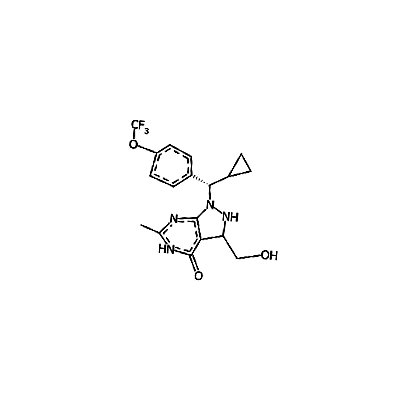 Cc1nc2c(c(=O)[nH]1)C(CO)NN2[C@H](c1ccc(OC(F)(F)F)cc1)C1CC1